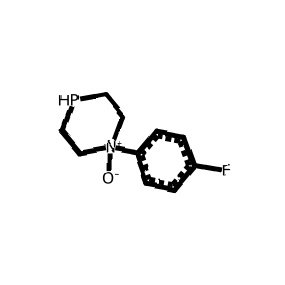 [O-][N+]1(c2ccc(F)cc2)CCPCC1